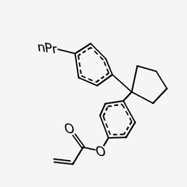 C=CC(=O)Oc1ccc(C2(c3ccc(CCC)cc3)CCCC2)cc1